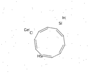 [C].[Ge].[In].[Si].c1cccc[siH]cccc1